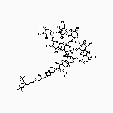 CC(=O)N(Cc1cn(CC(O)COCCC[Si](C)(O[Si](C)(C)C)O[Si](C)(C)C)nn1)[C@@H]1O[C@@H](CO)[C@@H](O[C@@H]2OC(CO[C@H]3OC[C@@H](O)[C@H](O)C3O[C@@H]3OC(CO)[C@H](O)[C@H](O)C3O)[C@@H](O[C@@H]3O[C@@H](CO[C@@H]4OC[C@H](O)C(O)C4O[C@@H]4OC(CO)[C@H](O)[C@H](O)C4O)[C@@H](O[C@@H]4OC(CO[C@H]5OC[C@@H](O)[C@H](O)C5O)[C@@H](O)[C@H](O)C4O)C(O)C3O)[C@H](O)C2O)C(O)C1O